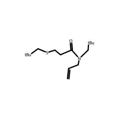 C=CCN(CC(C)(C)C)C(=O)CCSCC(C)(C)C